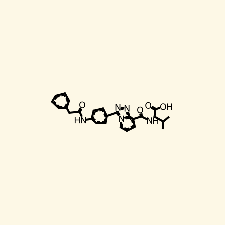 CC(C)C(NC(=O)c1cccn2c(-c3ccc(NC(=O)Cc4ccccc4)cc3)nnc12)C(=O)O